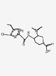 CCc1[nH]c(C(=O)NC2CCN(C(=O)O)CC2N(C)C)nc1Cl